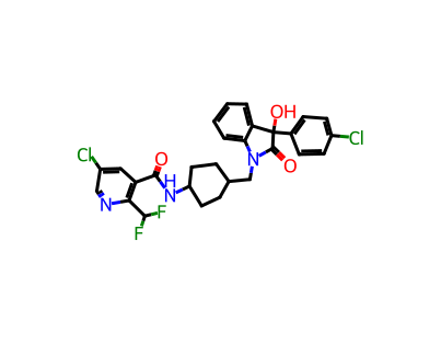 O=C(NC1CCC(CN2C(=O)C(O)(c3ccc(Cl)cc3)c3ccccc32)CC1)c1cc(Cl)cnc1C(F)F